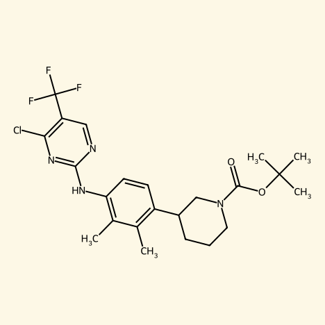 Cc1c(Nc2ncc(C(F)(F)F)c(Cl)n2)ccc(C2CCCN(C(=O)OC(C)(C)C)C2)c1C